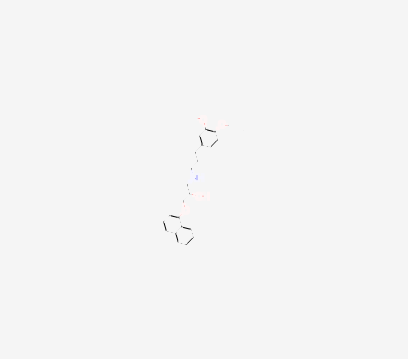 COc1ccc(CCCNCC(O)COc2cccc3ccccc23)cc1OC